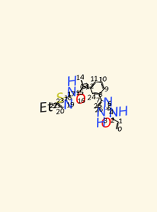 C=CC(=O)Nc1nc(-c2cccc([C@H](C)C(=O)Nc3ncc(CC)s3)c2)c[nH]1